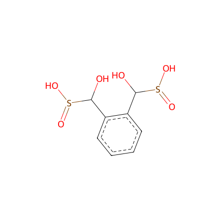 O=S(O)C(O)c1ccccc1C(O)S(=O)O